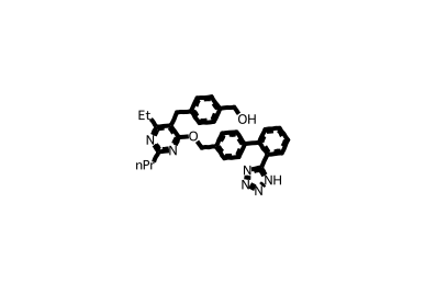 CCCc1nc(CC)c(Cc2ccc(CO)cc2)c(OCc2ccc(-c3ccccc3-c3nnn[nH]3)cc2)n1